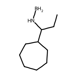 BNC(CC)C1CCCCCC1